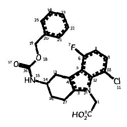 O=C(O)Cn1c2c(c3c(F)ccc(Cl)c31)CC(NC(=O)OCc1ccccc1)CC2